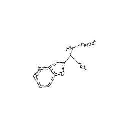 CCCC(C)NC(CC)c1cc2ccccc2o1